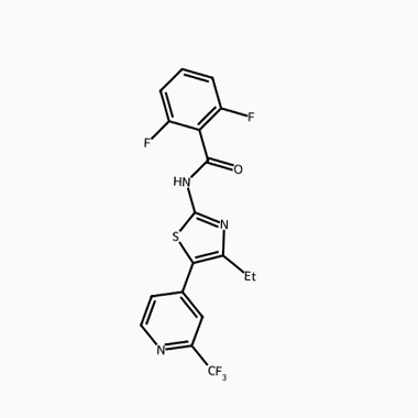 CCc1nc(NC(=O)c2c(F)cccc2F)sc1-c1ccnc(C(F)(F)F)c1